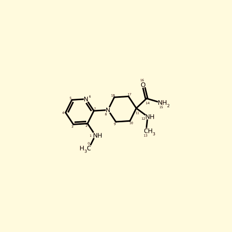 CNc1cccnc1N1CCC(NC)(C(N)=O)CC1